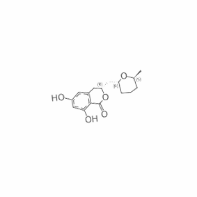 C[C@H]1CCC[C@H](C[C@H]2Cc3cc(O)cc(O)c3C(=O)O2)O1